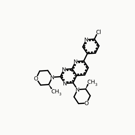 C[C@H]1COCCN1c1nc(N2CCOC[C@@H]2C)c2ccc(-c3ccc(Cl)nc3)nc2n1